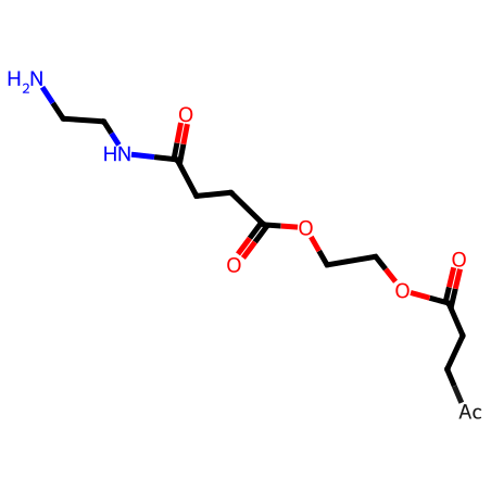 CC(=O)CCC(=O)OCCOC(=O)CCC(=O)NCCN